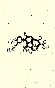 CN=c1c2c(N3CCN(C)C(COC)C3)c(F)cc3c(=O)c(C(=O)O)c4scc1n4c32